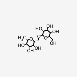 C[C@@H]1O[C@H](CO[C@@H]2O[C@H](CO)[C@H](O)[C@H](O)[C@H]2O)[C@H](O)[C@H](O)[C@H]1O